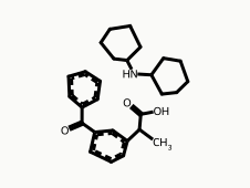 C1CCC(NC2CCCCC2)CC1.CC(C(=O)O)c1cccc(C(=O)c2ccccc2)c1